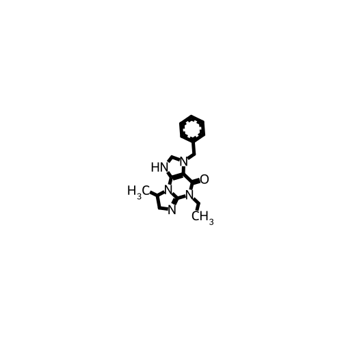 CCN1C(=O)C2=C(NCN2Cc2ccccc2)N2C1=NCC2C